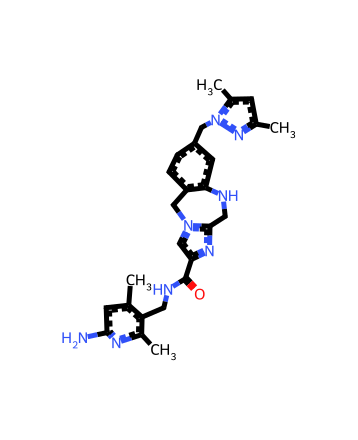 Cc1cc(C)n(Cc2ccc3c(c2)NCc2nc(C(=O)NCc4c(C)cc(N)nc4C)cn2C3)n1